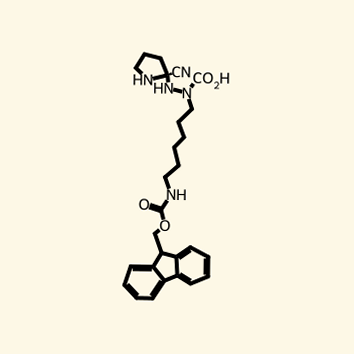 N#C[C@@]1(NN(CCCCCCNC(=O)OCC2c3ccccc3-c3ccccc32)C(=O)O)CCCN1